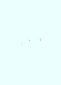 NCCCCN1CCN(C(=O)O)CC1